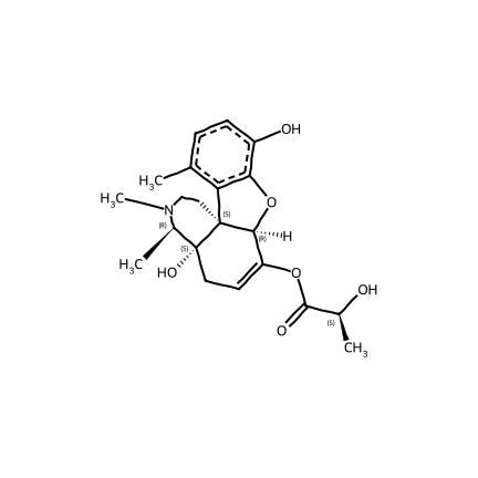 Cc1ccc(O)c2c1[C@]13CCN(C)[C@H](C)[C@]1(O)CC=C(OC(=O)[C@H](C)O)[C@@H]3O2